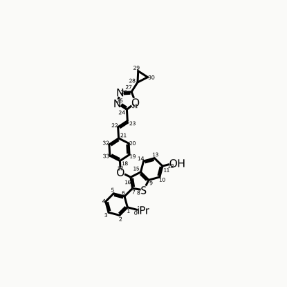 CC(C)c1ccccc1-c1sc2cc(O)ccc2c1Oc1ccc(C=Cc2nnc(C3CC3)o2)cc1